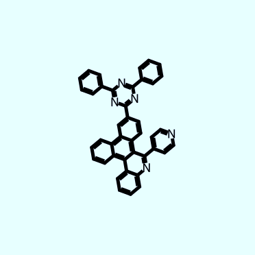 c1ccc(-c2nc(-c3ccccc3)nc(-c3ccc4c(c3)c3ccccc3c3c5ccccc5nc(-c5ccncc5)c43)n2)cc1